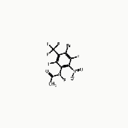 CC(=O)N(F)c1c(F)c(C(F)(F)F)c(Br)c(F)c1[N+](=O)[O-]